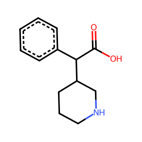 O=C(O)C(c1ccccc1)C1CCCNC1